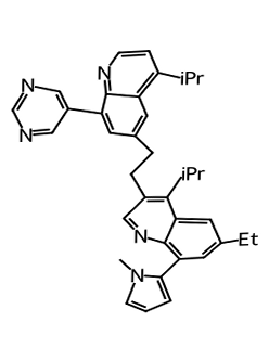 CCc1cc(-c2cccn2C)c2ncc(CCc3cc(-c4cncnc4)c4nccc(C(C)C)c4c3)c(C(C)C)c2c1